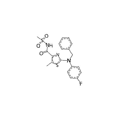 Cc1sc(N(Cc2ccccc2)c2ccc(F)cc2)nc1C(=O)NS(C)(=O)=O